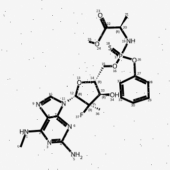 CNc1nc(N)nc2c1ncn2[C@@H]1O[C@H](COP(=S)(N[C@H](C)C(=O)OC)Oc2ccccc2)[C@@H](O)[C@@]1(C)F